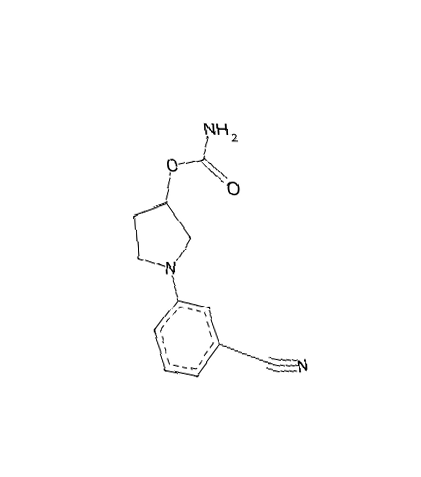 N#Cc1cccc(N2CCC(OC(N)=O)C2)c1